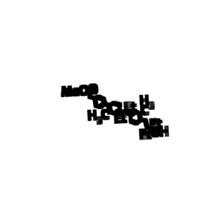 CCC(O)(C=Cc1ccc(C(CC)(CC)c2ccc(-c3ccc(CC(=O)OC)cc3)c(C)c2)cc1C)CC